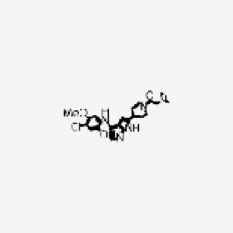 COc1cc(Nc2ccnc3[nH]c(C4=CCN(C(=O)CN(C)C)CC4)cc23)c(O)cc1Cl